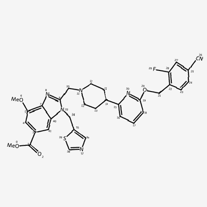 COC(=O)c1cc(OC)c2nc(CN3CCC(c4cccc(OCc5ccc(C#N)cc5F)n4)CC3)n(Cc3cncs3)c2c1